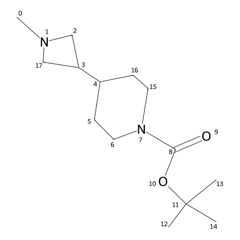 CN1CC(C2CCN(C(=O)OC(C)(C)C)CC2)C1